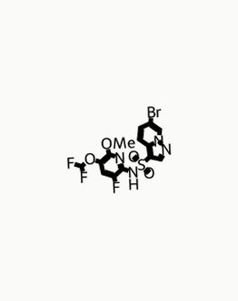 COc1nc(NS(=O)(=O)c2cnn3cc(Br)ccc23)c(F)cc1OC(F)F